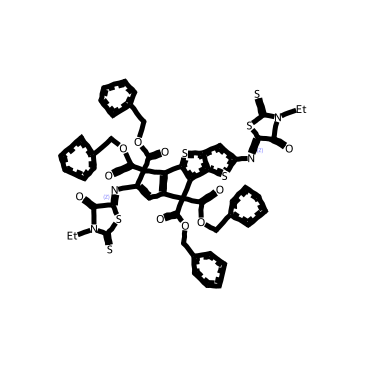 CCN1C(=O)/C(=N/C2=CC3=C(c4sc5cc(/N=C6\SC(=S)N(CC)C6=O)sc5c4C3(C(=O)OCc3ccccc3)C(=O)OCc3ccccc3)C2(C(=O)OCc2ccccc2)C(=O)OCc2ccccc2)SC1=S